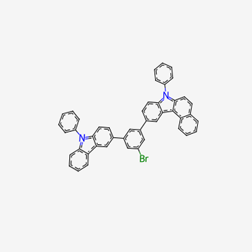 Brc1cc(-c2ccc3c(c2)c2ccccc2n3-c2ccccc2)cc(-c2ccc3c(c2)c2c4ccccc4ccc2n3-c2ccccc2)c1